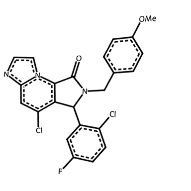 COc1ccc(CN2C(=O)c3c(c(Cl)cc4nccn34)C2c2cc(F)ccc2Cl)cc1